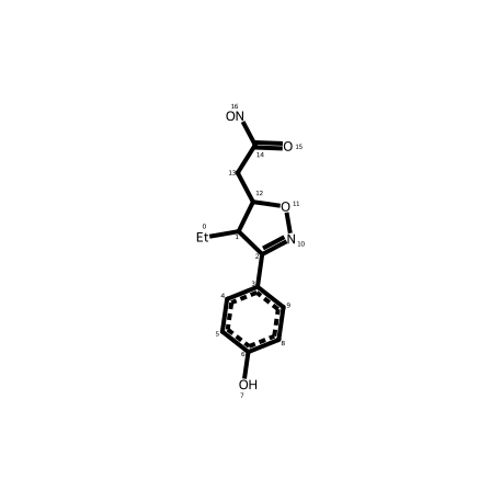 CCC1C(c2ccc(O)cc2)=NOC1CC(=O)N=O